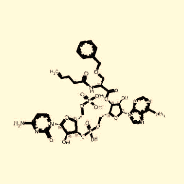 C=CCCC(=O)N[C@@H](COCc1ccccc1)C(=O)O[C@H]1[C@@H](O)[C@H](n2cnc3c(N)ncnc32)O[C@@H]1COP(=O)(O)O[C@H]1[C@@H](O)[C@H](n2ccc(N)nc2=O)O[C@@H]1COP(=O)(O)O